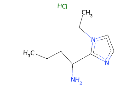 CCCC(N)c1nccn1CC.Cl